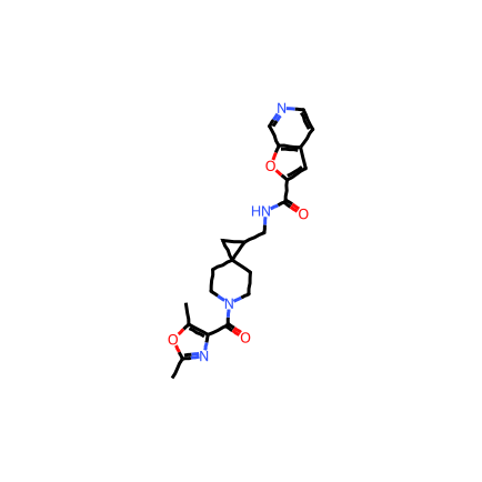 Cc1nc(C(=O)N2CCC3(CC2)CC3CNC(=O)c2cc3ccncc3o2)c(C)o1